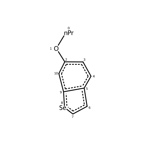 CCCOc1ccc2cc[se]c2c1